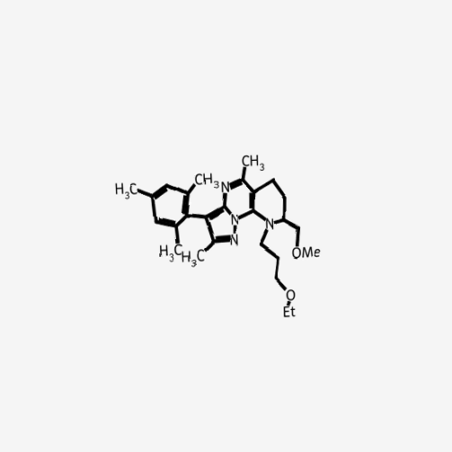 CCOCCCN1c2c(c(C)nc3c(-c4c(C)cc(C)cc4C)c(C)nn23)CCC1COC